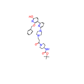 CC(C)(C)OC(=O)NC1CCN(C(=O)CCN2CCN(c3cccc(-c4ccc(O)nc4OCc4ccccc4)n3)CC2)CC1